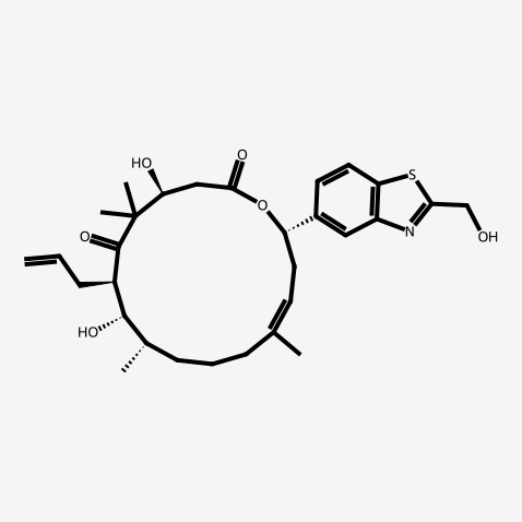 C=CC[C@H]1C(=O)C(C)(C)[C@@H](O)CC(=O)O[C@H](c2ccc3sc(CO)nc3c2)C/C=C(/C)CCC[C@H](C)[C@@H]1O